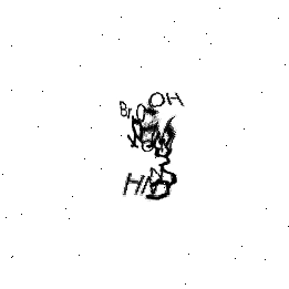 CC(C)(C)c1cc(Br)cc([C@H](CC(=O)O)N2CCn3cc(CCc4ccc5c(n4)NCCC5)cc3C2=O)c1